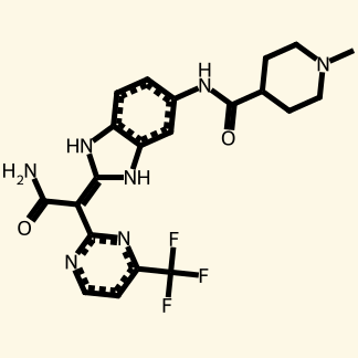 CN1CCC(C(=O)Nc2ccc3c(c2)N/C(=C(/C(N)=O)c2nccc(C(F)(F)F)n2)N3)CC1